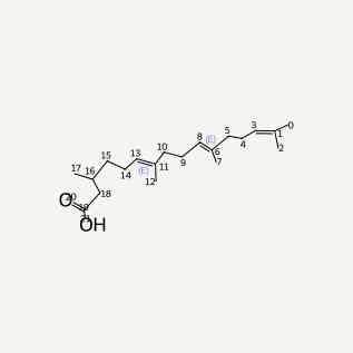 CC(C)=CCC/C(C)=C/CC/C(C)=C/CCC(C)CC(=O)O